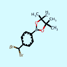 CC1(C)OB(c2ccc(C(Br)Br)cc2)OC1(C)C